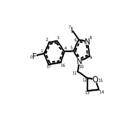 Fc1ccc(-c2c(I)ncn2CC2CCO2)cc1